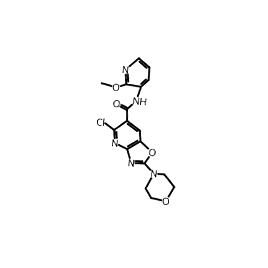 COc1ncccc1NC(=O)c1cc2oc(N3CCOCC3)nc2nc1Cl